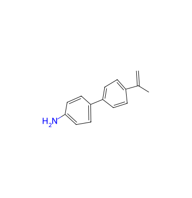 C=C(C)c1ccc(-c2ccc(N)cc2)cc1